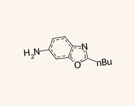 CCCCc1nc2ccc(N)cc2o1